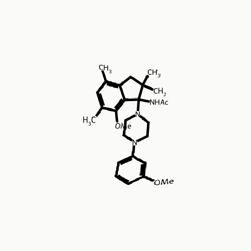 COc1cccc(N2CCN(C3(NC(C)=O)c4c(c(C)cc(C)c4OC)CC3(C)C)CC2)c1